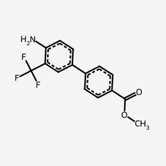 COC(=O)c1ccc(-c2ccc(N)c(C(F)(F)F)c2)cc1